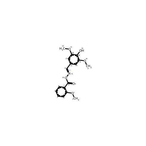 COc1ccccc1C(=O)O/N=C/c1cc(OC)c(O)c(OC)c1